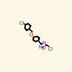 ClCc1nc(-c2ccc(OCc3ccc(Cl)cc3)cc2)no1